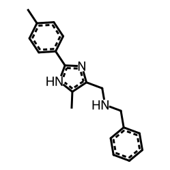 Cc1ccc(-c2nc(CNCc3ccccc3)c(C)[nH]2)cc1